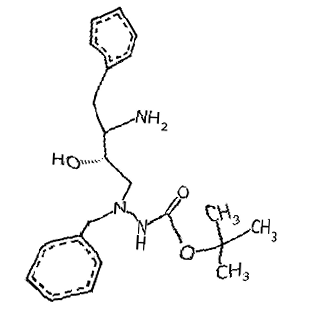 CC(C)(C)OC(=O)NN(Cc1ccccc1)C[C@H](O)C(N)Cc1ccccc1